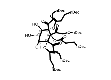 CCCCCCCCCCCCC(=O)O[C@@]1(C(=O)CCCCCCCCCCCC)[C@@](OC(=O)CCCCCCCCCCCC)(C(=O)CCCCCCCCCCCC)[C@@H](O)[C@H](O)[C@@H](O)[C@@]1(OC(=O)CCCCCCCCCCCC)C(=O)CCCCCCCCCCCC